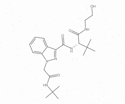 CC(C)(C)NC(=O)Cn1nc(C(=O)N[C@H](C(=O)NCCO)C(C)(C)C)c2ccccc21